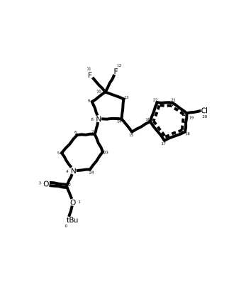 CC(C)(C)OC(=O)N1CCC(N2CC(F)(F)CC2Cc2ccc(Cl)cc2)CC1